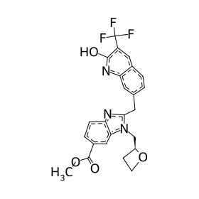 COC(=O)c1ccc2nc(Cc3ccc4cc(C(F)(F)F)c(O)nc4c3)n(C[C@@H]3CCO3)c2c1